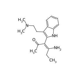 CCC(N)=C(C(C)=O)c1[nH]c2ccccc2c1CCN(C)C